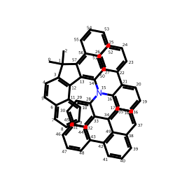 CC1(C)c2ccc3ccccc3c2-c2c(N(c3ccccc3-c3ccccc3)c3ccccc3-c3cccc4cccc(-c5ccccc5)c34)cc3ccccc3c21